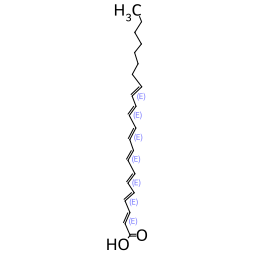 CCCCCCC/C=C/C=C/C=C/C=C/C=C/C=C/C=C/C(=O)O